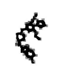 CCOc1cc(CN2CCC(Nc3nc4cc(Cl)ccc4o3)CC2)cc(OCC)c1-n1cccc1